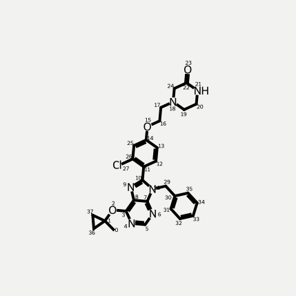 CC1(Oc2ncnc3c2nc(-c2ccc(OCCN4CCNC(=O)C4)cc2Cl)n3Cc2ccccc2)CC1